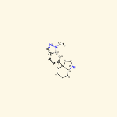 Cn1ncc2ccc(C34CCCCC3NCC4)cc21